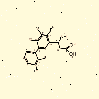 Cc1c(F)cccc1-c1cc(C(N)CC(=O)O)c(F)c(C)c1C